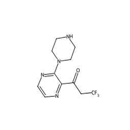 O=C(CC(F)(F)F)c1nccnc1N1CCNCC1